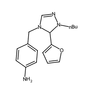 CCCCN1N=CN(Cc2ccc(N)cc2)C1c1ccco1